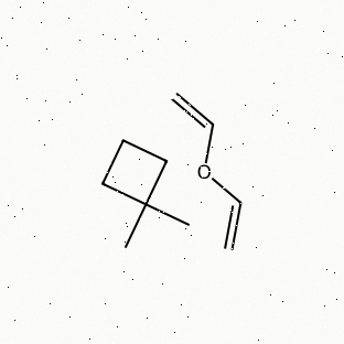 C=COC=C.CC1(C)CCC1